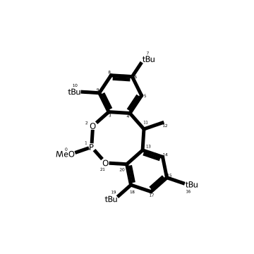 COP1Oc2c(cc(C(C)(C)C)cc2C(C)(C)C)C(C)c2cc(C(C)(C)C)cc(C(C)(C)C)c2O1